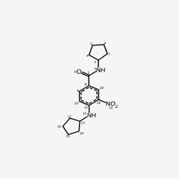 O=C(NC1CCCC1)c1ccc(NC2CCCC2)c([N+](=O)[O-])c1